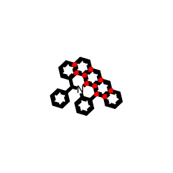 c1ccc(C(c2ccccc2)c2ccccc2N(C(c2ccccc2)c2ccccc2)C(c2ccccc2)c2ccccc2)cc1